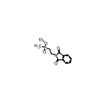 CCOP(C)(=O)CCN1C(=O)c2ccccc2C1=O